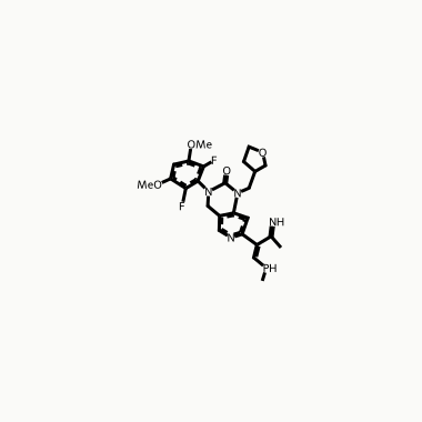 COc1cc(OC)c(F)c(N2Cc3cnc(/C(=C/PC)C(C)=N)cc3N(CC3CCOC3)C2=O)c1F